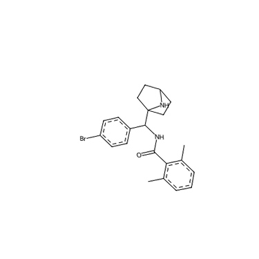 Cc1cccc(C)c1C(=O)NC(c1ccc(Br)cc1)C12CCC(CC1)N2